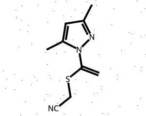 C=C(SCC#N)n1nc(C)cc1C